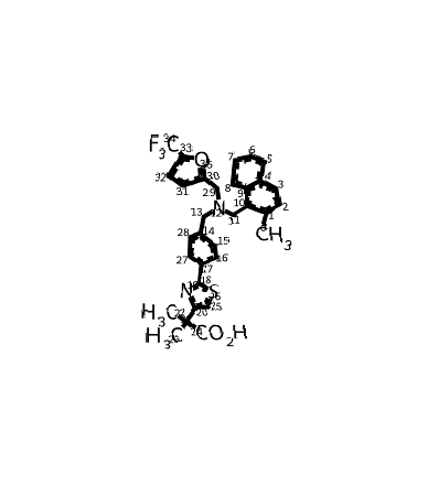 Cc1ccc2ccccc2c1CN(Cc1ccc(-c2nc(C(C)(C)C(=O)O)cs2)cc1)Cc1ccc(C(F)(F)F)o1